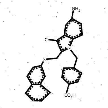 Nc1ccc2c(c1)c(Cl)c(CSc1ccc3ccccc3c1)n2Cc1ccc(C(=O)O)cc1